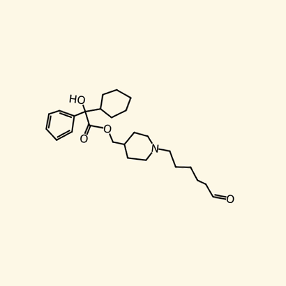 O=CCCCCCN1CCC(COC(=O)C(O)(c2ccccc2)C2CCCCC2)CC1